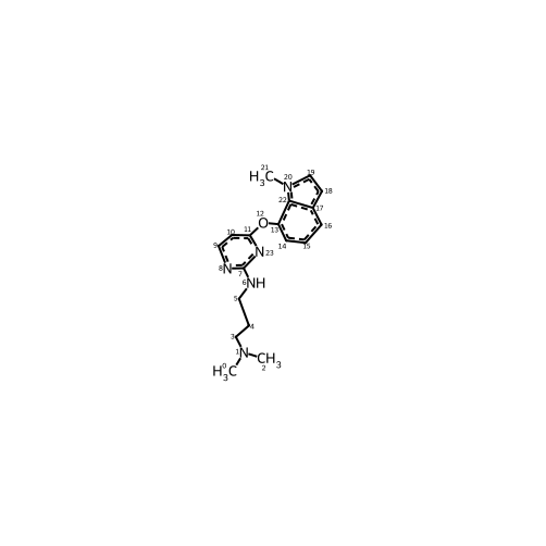 CN(C)CCCNc1nccc(Oc2cccc3ccn(C)c23)n1